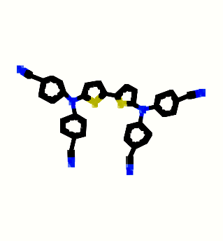 N#Cc1ccc(N(c2ccc(C#N)cc2)c2ccc(-c3ccc(N(c4ccc(C#N)cc4)c4ccc(C#N)cc4)s3)s2)cc1